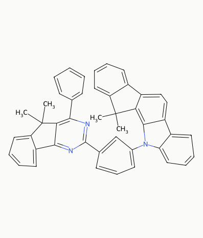 CC1(C)c2ccccc2-c2nc(-c3cccc(-n4c5ccccc5c5ccc6c(c54)C(C)(C)c4ccccc4-6)c3)nc(-c3ccccc3)c21